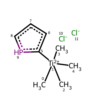 [CH3][Ti+2]([CH3])([CH3])([CH3])[c]1ccc[pH]1.[Cl-].[Cl-]